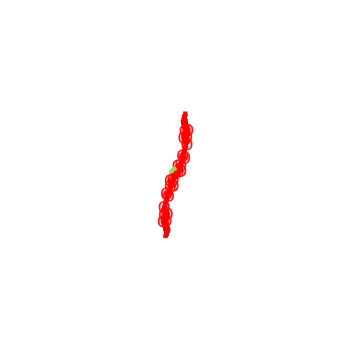 CCCCCC1CCC(C2CCC(C(=O)Oc3ccc(OC(=O)c4ccc(OCCCCCCCCOC(=O)CCCCCOC(=O)CCC(=O)OCC(F)(F)C(F)(F)C(F)(F)C(F)(F)COC(=O)CCC(=O)OCCCCCC(=O)OCCCCCCCCOc5ccc(C(=O)Oc6ccc(OC(=O)C7CCC(C8CCC(CCCCC)CC8)CC7)cc6)cc5)cc4)cc3)CC2)CC1